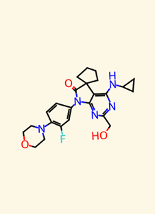 O=C1N(c2ccc(N3CCOCC3)c(F)c2)c2nc(CO)nc(NC3CC3)c2C12CCCC2